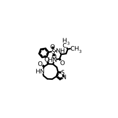 CC(C)CC(NS(=O)(=O)c1ccccc1)C(=O)NC1Cc2sncc2CCCNC(=O)C1=O